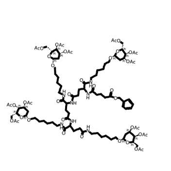 CC(=O)OC[C@H]1O[C@@H](OCCCCCCNC(=O)CCC(NC(=O)CCC(NC(=O)CCC(NC(=O)CCCC(=O)OCc2ccccc2)C(=O)NCCCCCCO[C@H]2C[C@@H](OC(C)=O)[C@@H](OC(C)=O)[C@@H](COC(C)=O)O2)C(=O)NCCCCCCO[C@H]2C[C@@H](OC(C)=O)[C@@H](OC(C)=O)[C@@H](COC(C)=O)O2)C(=O)NCCCCCCO[C@H]2C[C@@H](OC(C)=O)[C@@H](OC(C)=O)[C@@H](COC(C)=O)O2)C[C@@H](OC(C)=O)[C@H]1OC(C)=O